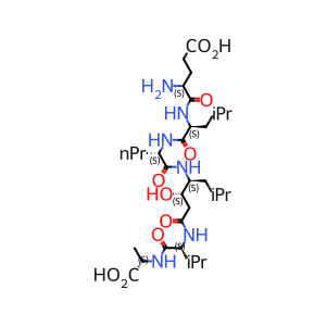 CCC[C@H](NC(=O)[C@H](CC(C)C)NC(=O)[C@@H](N)CCC(=O)O)C(=O)N[C@@H](CC(C)C)[C@@H](O)CC(=O)N[C@H](C(=O)N[C@@H](C)C(=O)O)C(C)C